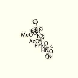 COC(=O)[C@@H](C)C[C@H](Cc1ccccc1)NC(=O)c1csc([C@@H](C[C@H](C(C)C)N(C)C(=O)[C@@H](NC(=O)[C@H]2CCCN2C)C2CC2)OC(C)=O)n1